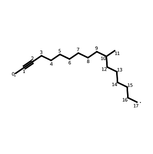 [CH2]C#CCCCCCCCC(C)CCCCC[CH2]